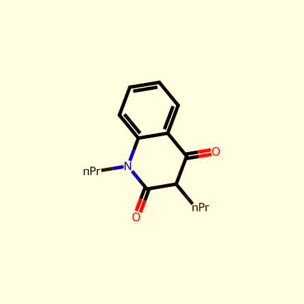 CCCC1C(=O)c2ccccc2N(CCC)C1=O